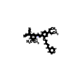 CCN(CC)C1=CC(OCCCCN2CCOCC2)C(/C=C/C2=CC(=C(C#N)C#N)CC(C)(C)C2)C=C1